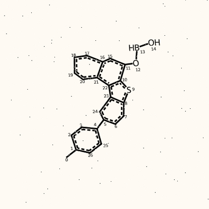 Cc1ccc(-c2ccc3sc4c(OBO)cc5ccccc5c4c3c2)cc1